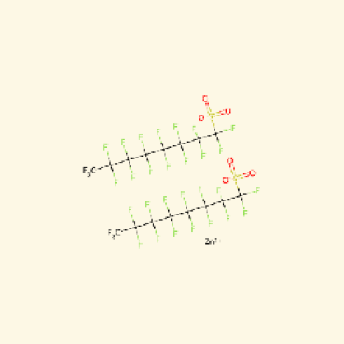 O=S(=O)([O-])C(F)(F)C(F)(F)C(F)(F)C(F)(F)C(F)(F)C(F)(F)C(F)(F)C(F)(F)F.O=S(=O)([O-])C(F)(F)C(F)(F)C(F)(F)C(F)(F)C(F)(F)C(F)(F)C(F)(F)C(F)(F)F.[Zn+2]